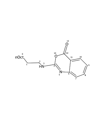 CCCCCCCCCCNc1nc2ccccc2c(=O)o1